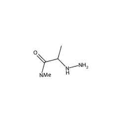 [CH2]NC(=O)C(C)NN